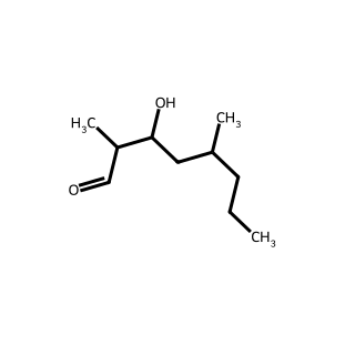 CCCC(C)CC(O)C(C)C=O